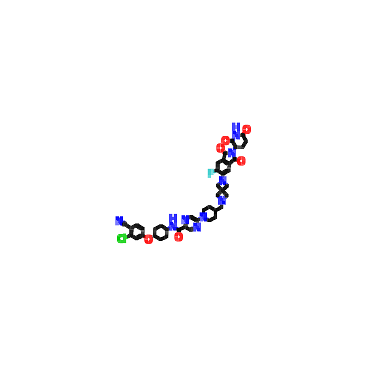 N#Cc1ccc(O[C@H]2CC[C@H](NC(=O)c3cnc(N4CCC(CN5CC6(C5)CN(c5cc7c(cc5F)C(=O)N(C5CCC(=O)NC5=O)C7=O)C6)CC4)cn3)CC2)cc1Cl